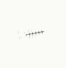 CCCCCCC(C)C(F)(F)C(F)(F)C(F)(F)C(F)(F)C(F)(F)C(F)(F)F